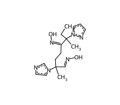 CCC(C)(C(CCC(C)(C=NO)n1ccnc1)=NO)n1cccn1